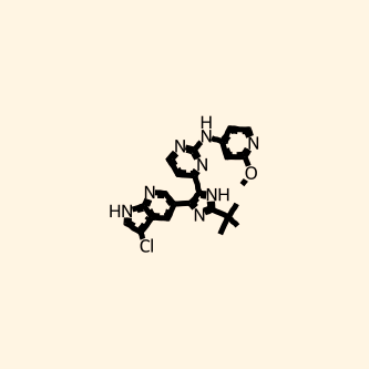 COc1cc(Nc2nccc(-c3[nH]c(C(C)(C)C)nc3-c3cnc4[nH]cc(Cl)c4c3)n2)ccn1